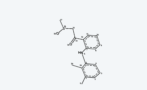 Cc1cccc(Nc2ccccc2C(=O)C[S+](C)[O-])c1C